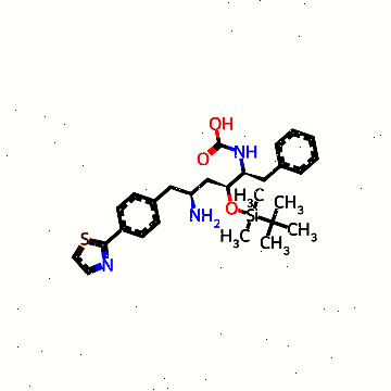 CC(C)(C)[Si](C)(C)O[C@@H](C[C@@H](N)Cc1ccc(-c2nccs2)cc1)[C@H](Cc1ccccc1)NC(=O)O